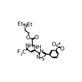 CCN(CC)CCOC(=O)CN/C(=C\C(=N)C(F)(F)F)c1nsc(-c2cccc(S(C)(=O)=O)c2)n1